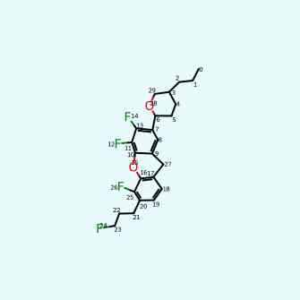 CCCC1CCC(c2cc3c(c(F)c2F)Oc2c(ccc(CCCF)c2F)C3)OC1